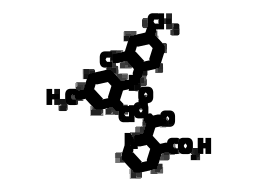 Cc1ccc(B(OOC(=O)c2ncccc2C(=O)O)c2ccc(C)cc2Cl)c(Cl)c1